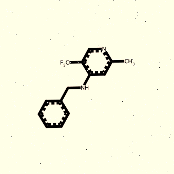 Cc1cc(NCc2ccccc2)c(C(F)(F)F)cn1